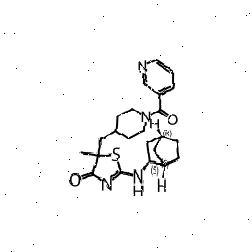 CC1(CC2CCN(C(=O)c3cccnc3)CC2)SC(N[C@H]2C[C@@H]3CC[C@H]2C3)=NC1=O